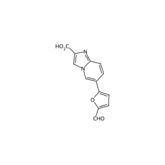 O=Cc1ccc(-c2ccc3nc(C(=O)O)cn3c2)o1